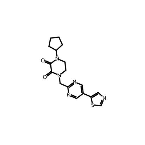 O=C1C(=O)N(C2CCCC2)CCN1Cc1ncc(-c2cncs2)cn1